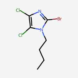 CCCCn1c(Br)nc(Cl)c1Cl